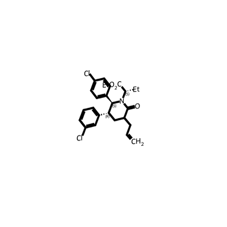 C=CCC1C[C@H](c2cccc(Cl)c2)[C@@H](c2ccc(Cl)cc2)N([C@@H](CC)C(=O)OCC)C1=O